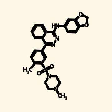 Cc1ccc(-c2nnc(Nc3ccc4c(c3)OCO4)c3ccccc23)cc1S(=O)(=O)N1CCN(C)CC1